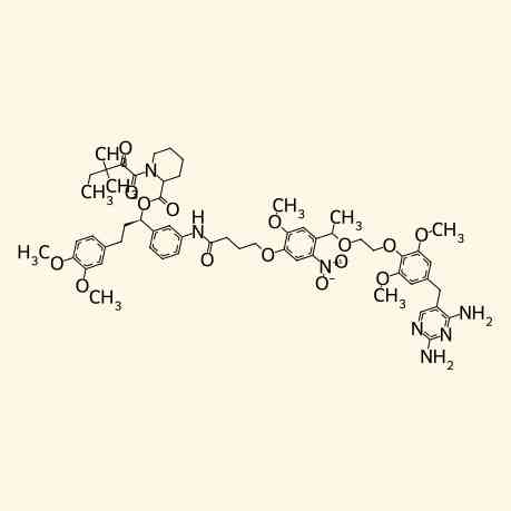 CCC(C)(C)C(=O)C(=O)N1CCCCC1C(=O)O[C@H](CCc1ccc(OC)c(OC)c1)c1cccc(NC(=O)CCCOc2cc([N+](=O)[O-])c(C(C)OCCOc3c(OC)cc(Cc4cnc(N)nc4N)cc3OC)cc2OC)c1